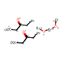 CC(C)CC(=O)CC(=O)[O-].CC(C)CC(=O)CC(=O)[O-].CC[O][Zr+2][O]CC